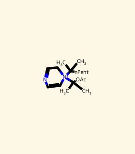 CCCCCC(C)(C)[N+]1(C(C)(C)OC(C)=O)C=CN=CC1